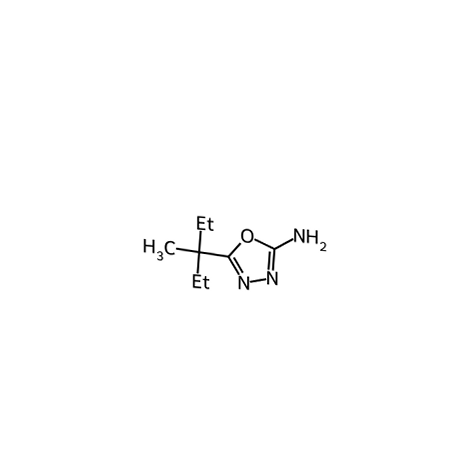 CCC(C)(CC)c1nnc(N)o1